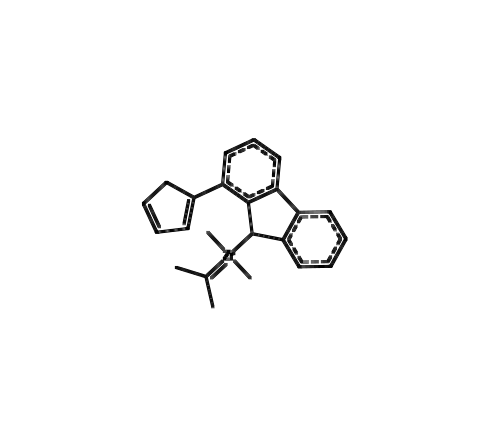 C[C](C)=[Zr]([CH3])([CH3])[CH]1c2ccccc2-c2cccc(C3=CC=CC3)c21